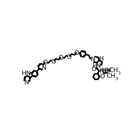 CNC(C)C(=O)NC(C(=O)N1CC[C@H]2CCN(CCc3ccc(OCCOCCOCCOCCOc4ccc(-c5ccc6c(c5)[nH]c5ccncc56)cn4)cc3)C[C@H]21)C1CCCCC1